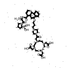 C[C@@H](NC(=O)c1ccnc2c1cc(OCCCN1CCN(C(=O)CN3CCN(CC(=O)O)CCN(CC(=O)O)CCN(CC(=O)O)CC3)CC1)c1ccccc12)C(=O)N1CCC[C@H]1B(O)O